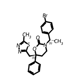 Cc1nnc(C[C@]2(c3ccccc3)CCN([C@@H](C)c3ccc(Br)cc3)C(=O)O2)s1